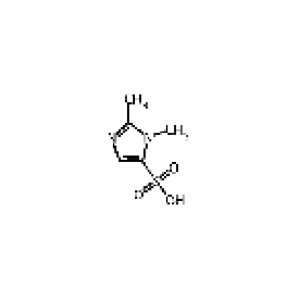 Cc1ncc(S(=O)(=O)O)n1C